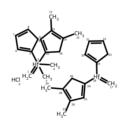 Cl.[CH2]=[Hf]([CH3])([CH3])([C]1=CC=CC1)[C]1=CC(C)=C(C)C1.[CH2]=[Hf]([C]1=CC=CC1)[C]1=CC(C)=C(C)C1